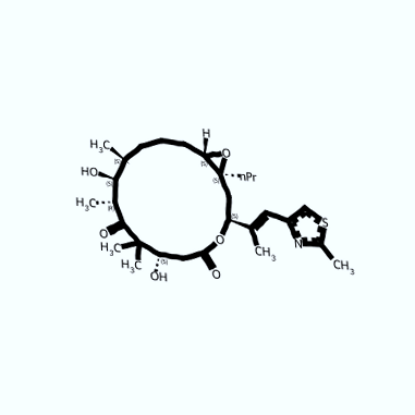 CCC[C@]12C[C@@H](C(C)=Cc3csc(C)n3)OC(=O)C[C@H](O)C(C)(C)C(=O)[C@H](C)[C@@H](O)[C@@H](C)CCC[C@@H]1O2